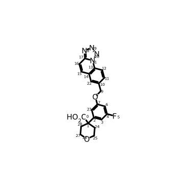 O=C(O)C1(c2cc(F)cc(OCc3ccc4c(ccc5nnnn54)c3)c2)CCOCC1